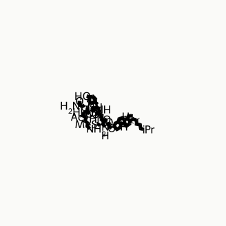 CSCC[C@H](NC(=O)O[C@H]1CC[C@@]2(C)C(=CC[C@H]3C4CC[C@H]([C@H](C)CCCC(C)C)[C@@]4(C)CC[C@@H]32)C1)C(=O)NCC(=O)N[C@@H](Cc1ccc(O)cc1)C(=O)N[C@@H](CCC(N)=O)C(=O)N[C@@H](CCCCN)C(C)=O